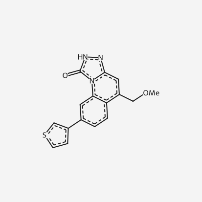 COCc1cc2n[nH]c(=O)n2c2cc(-c3ccsc3)ccc12